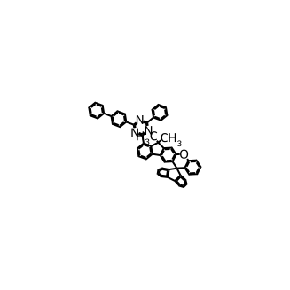 CC1(C)c2cc3c(cc2-c2cccc(-c4nc(-c5ccccc5)nc(-c5ccc(-c6ccccc6)cc5)n4)c21)C1(c2ccccc2O3)c2ccccc2-c2ccccc21